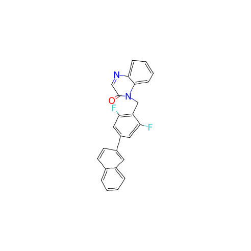 O=c1cnc2ccccc2n1Cc1c(F)cc(-c2ccc3ccccc3c2)cc1F